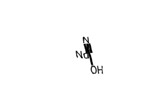 N#CO.[Nd]